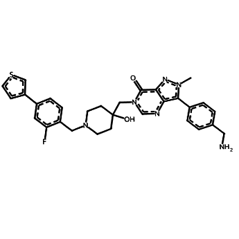 Cn1nc2c(=O)n(CC3(O)CCN(Cc4ccc(-c5ccsc5)cc4F)CC3)cnc2c1-c1ccc(CN)cc1